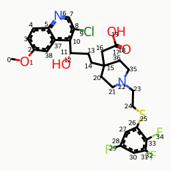 COc1ccc2ncc(Cl)c([C@@H](O)CCC3(CC(=O)O)CCN(CCSc4cc(F)cc(F)c4F)CC3)c2c1